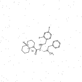 CN(Cc1ccccc1)C[C@@H](NCc1ccc(F)cc1F)C(=O)N1CCC[C@H]2CCCC[C@@H]21